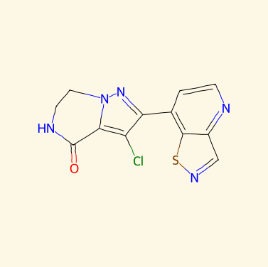 O=C1NCCn2nc(-c3ccnc4cnsc34)c(Cl)c21